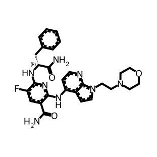 NC(=O)c1cc(F)c(N[C@H](Cc2ccccc2)C(N)=O)nc1Nc1ccnc2c1ccn2CCN1CCOCC1